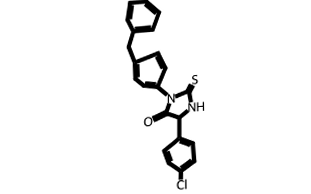 O=C1C(c2ccc(Cl)cc2)NC(=S)N1c1ccc(Cc2ccccc2)cc1